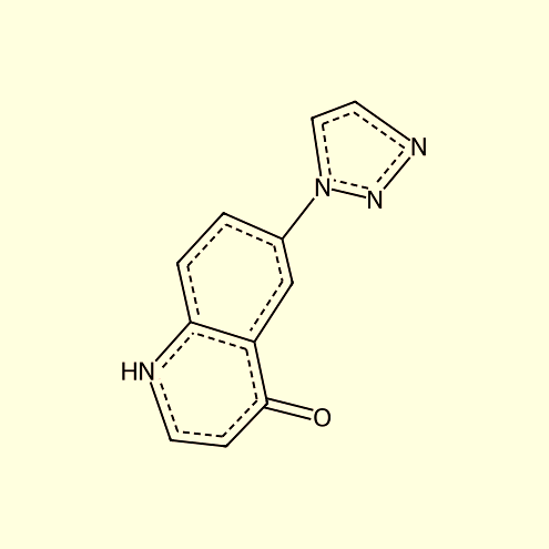 O=c1cc[nH]c2ccc(-n3ccnn3)cc12